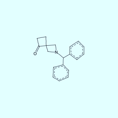 O=C1CCC12CN(C(c1ccccc1)c1ccccc1)C2